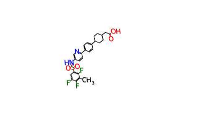 Cc1c(F)c(F)cc(S(=O)(=O)Nc2ccc(-c3ccc(C4CCC(CC(=O)O)CC4)cc3)nc2)c1F